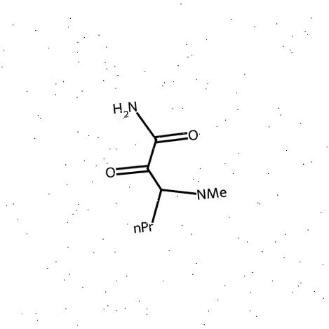 CCCC(NC)C(=O)C(N)=O